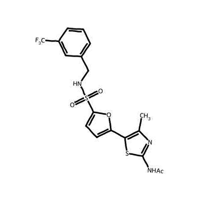 CC(=O)Nc1nc(C)c(-c2ccc(S(=O)(=O)NCc3cccc(C(F)(F)F)c3)o2)s1